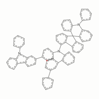 c1ccc(-c2cccc(-c3ccccc3N(c3ccc(-c4ccc5c6ccccc6n(-c6ccccc6)c5c4)cc3)c3cccc4c3-c3ccccc3C43c4ccccc4N(c4ccccc4)c4ccccc43)c2)cc1